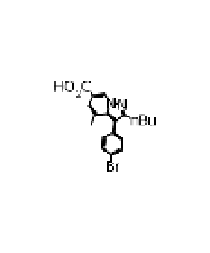 CCCCc1nn2cc(C(=O)O)cc(C)c2c1-c1ccc(Br)cc1